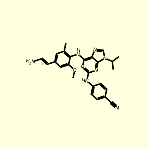 COc1cc(/C=C/N)cc(C)c1Nc1nc(Nc2ccc(C#N)cc2)nc2c1ncn2C(C)C